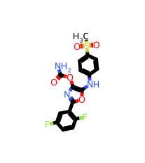 CS(=O)(=O)c1ccc(Nc2oc(-c3cc(F)ccc3F)nc2OC(N)=O)cc1